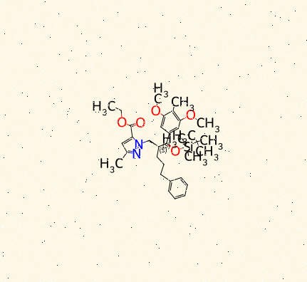 CCOC(=O)c1cc(C)nn1C[C@H](CCCc1ccccc1)[C@H](O[Si](C)(C)C(C)(C)C)c1cc(OC)c(C)c(OC)c1